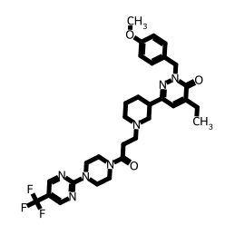 CCc1cc(C2CCCN(CCC(=O)N3CCN(c4ncc(C(F)(F)F)cn4)CC3)C2)nn(Cc2ccc(OC)cc2)c1=O